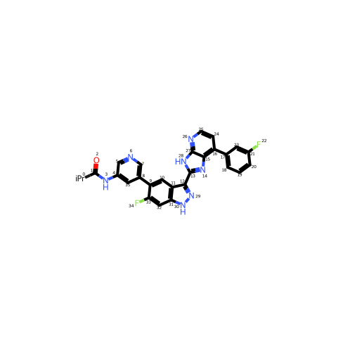 CC(C)C(=O)Nc1cncc(-c2cc3c(-c4nc5c(-c6cccc(F)c6)ccnc5[nH]4)n[nH]c3cc2F)c1